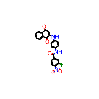 O=C(Nc1ccc(NC2=CC(=O)c3ccccc3C2=O)cc1)c1ccc([N+](=O)[O-])c(F)c1